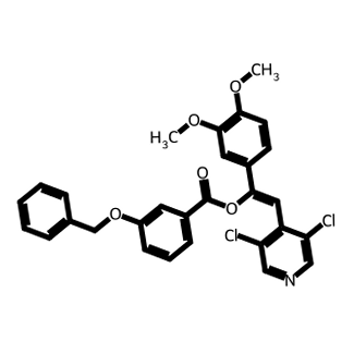 COc1ccc(/C(=C/c2c(Cl)cncc2Cl)OC(=O)c2cccc(OCc3ccccc3)c2)cc1OC